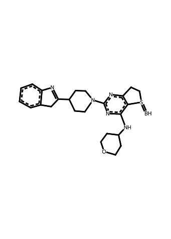 B=S1CCc2nc(N3CCC(C4=Nc5ccccc5C4)CC3)nc(NC3CCOCC3)c21